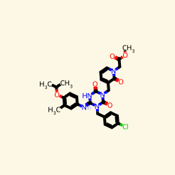 COC(=O)Cn1cccc(Cn2c(=O)[nH]/c(=N\c3ccc(OC(C)C)c(C)c3)n(Cc3ccc(Cl)cc3)c2=O)c1=O